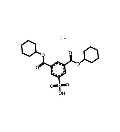 O=C(OC1CCCCC1)c1cc(C(=O)OC2CCCCC2)cc(S(=O)(=O)O)c1.[LiH]